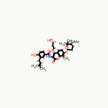 CO[C@@H]1CC[C@H](Oc2ccc3c(OCCCO)c(NC(=O)c4ccc(O)c(CC=C(C)C)c4)c(=O)oc3c2C)OC1(C)C